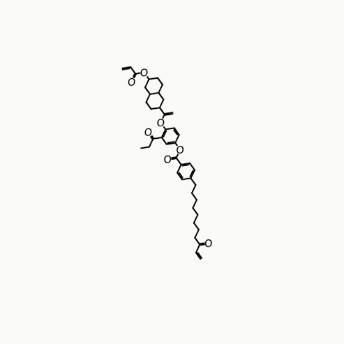 C=CC(=O)CCCCCCCCc1ccc(C(=O)Oc2ccc(OC(=C)C3CCC4CC(OC(=O)C=C)CCC4C3)c(C(=O)CC)c2)cc1